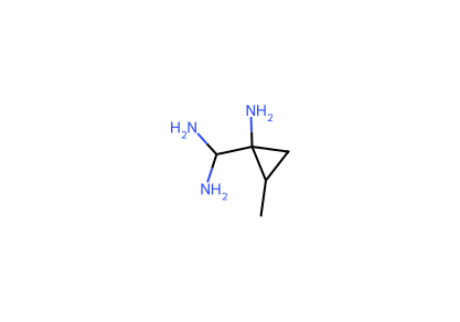 CC1CC1(N)C(N)N